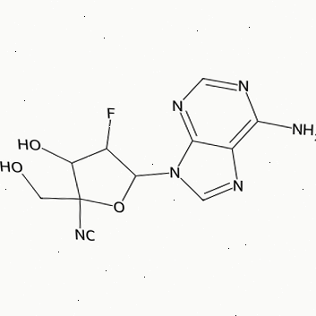 [C-]#[N+]C1(CO)OC(n2cnc3c(N)ncnc32)C(F)C1O